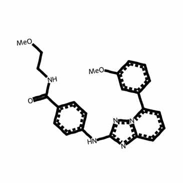 COCCNC(=O)c1ccc(Nc2nc3cccc(-c4cccc(OC)c4)n3n2)cc1